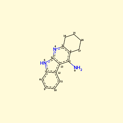 Nc1c2c(nc3[nH]c4ccccc4c13)CCCC2